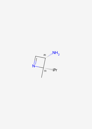 CC(C)[C@]1(C)N=C[C@@H]1N